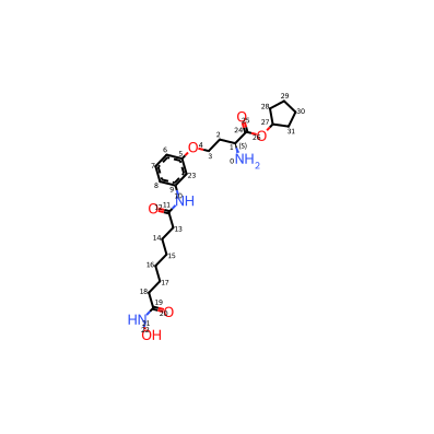 N[C@@H](CCOc1cccc(NC(=O)CCCCCCC(=O)NO)c1)C(=O)OC1CCCC1